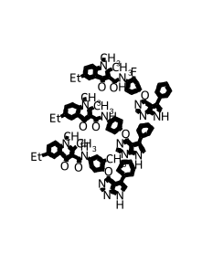 CCc1ccc2c(c1)c(=O)c(C(=O)Nc1ccc(Oc3ncnc4[nH]cc(-c5ccccc5)c34)c(C)c1)c(C)n2C.CCc1ccc2c(c1)c(=O)c(C(=O)Nc1ccc(Oc3ncnc4[nH]cc(-c5ccccc5)c34)cc1)c(C)n2C.CCc1ccc2c(c1)c(=O)c(C(=O)Nc1ccc(Oc3ncnc4[nH]cc(-c5ccccc5)c34)cc1F)c(C)n2C